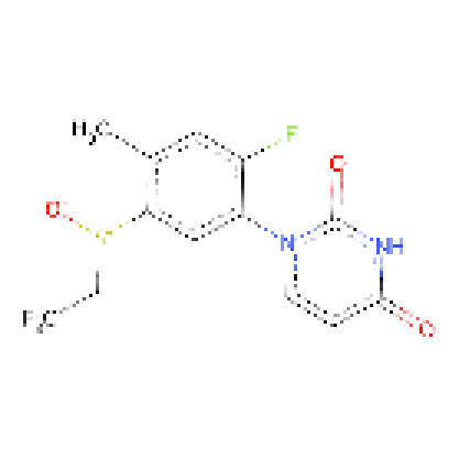 Cc1cc(F)c(-n2ccc(=O)[nH]c2=O)cc1[S+]([O-])CC(F)(F)F